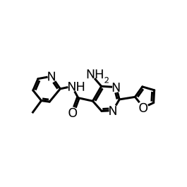 Cc1ccnc(NC(=O)c2cnc(-c3ccco3)nc2N)c1